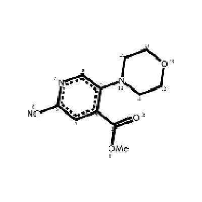 COC(=O)c1cc(C#N)ncc1N1CCOCC1